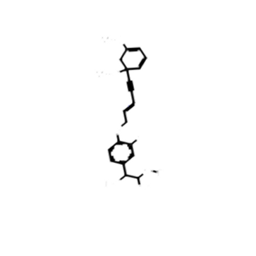 CCOC(C(=O)O)C(C)c1ccc(OC/C=C/C#CC2(OC)C=CC=C(OC)C2)c(Cl)c1